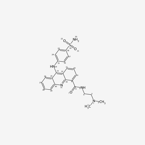 CN(C)CCNC(=O)c1cccc2c(Nc3ccc(S(N)(=O)=O)cc3)c3ccccc3nc12